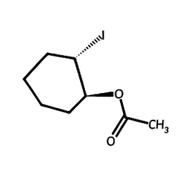 CC(=O)O[C@H]1CCCC[C@@H]1I